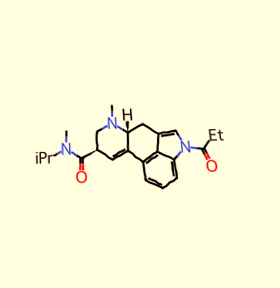 CCC(=O)n1cc2c3c(cccc31)C1=C[C@@H](C(=O)N(C)C(C)C)CN(C)[C@@H]1C2